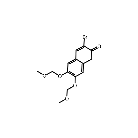 COCOc1cc2c(cc1OCOC)CC(=O)C(Br)=C2